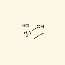 CC.Cl.NO